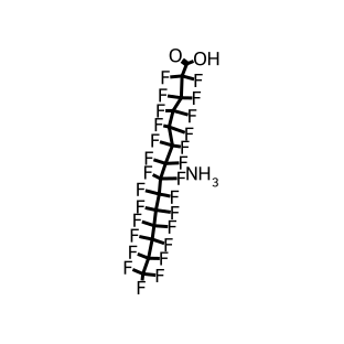 N.O=C(O)C(F)(F)C(F)(F)C(F)(F)C(F)(F)C(F)(F)C(F)(F)C(F)(F)C(F)(F)C(F)(F)C(F)(F)C(F)(F)C(F)(F)C(F)(F)F